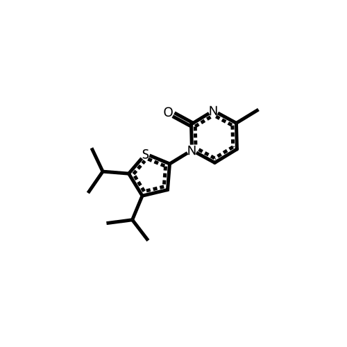 Cc1ccn(-c2cc(C(C)C)c(C(C)C)s2)c(=O)n1